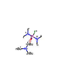 CCCCN(CCCC)CCCC.CN(C)P(=O)(F)N(C)C